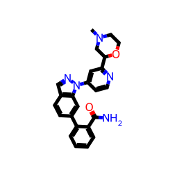 CN1CCOC(c2cc(-n3ncc4ccc(-c5ccccc5C(N)=O)cc43)ccn2)C1